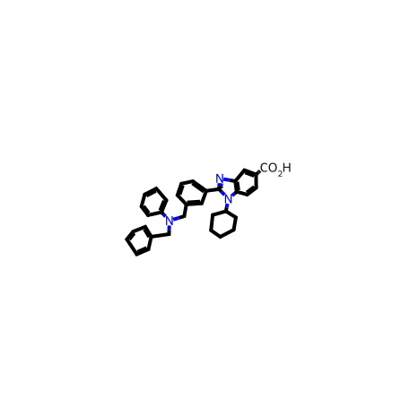 O=C(O)c1ccc2c(c1)nc(-c1cccc(CN(Cc3ccccc3)c3ccccc3)c1)n2C1CCCCC1